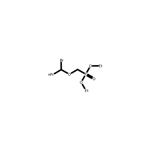 CCCC(Br)OCP(=O)(OCC)OCC